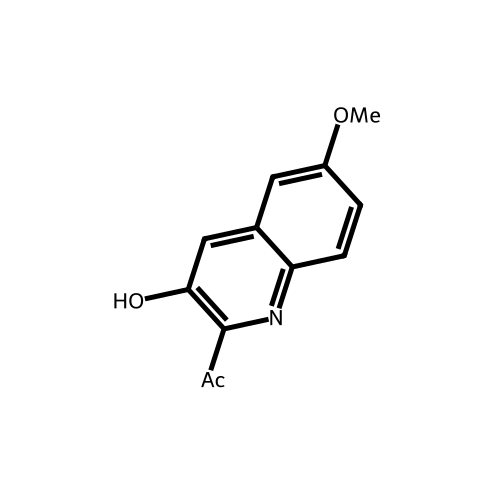 COc1ccc2nc(C(C)=O)c(O)cc2c1